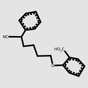 N#CC(CCCCOc1ccccc1C(=O)O)c1ccccc1